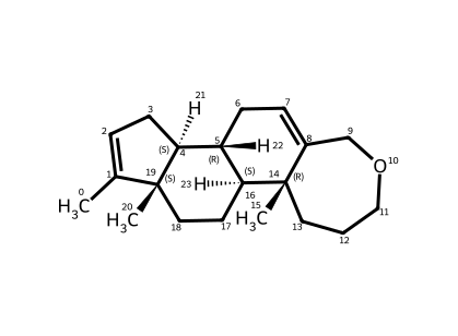 CC1=CC[C@H]2[C@@H]3CC=C4COCCC[C@]4(C)[C@H]3CC[C@]12C